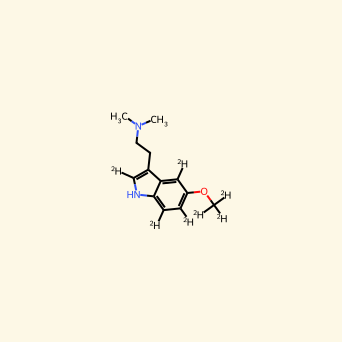 [2H]c1[nH]c2c([2H])c([2H])c(OC([2H])([2H])[2H])c([2H])c2c1CCN(C)C